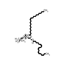 CC/C=C\C/C=C\C/C=C\C/C=C\CCCCC(=O)OC[C@H](COP(=O)([O-])OCC[N+](C)(C)C)OC(=O)CCCCCCCCC/C=C\CCCCCCCCCC